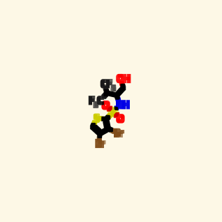 O=S(=O)(NC(CO)C(C(F)(F)F)C(F)(F)F)c1scc(Br)c1Br